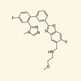 COCCNCc1cc2nc(-c3cccc(-c4ccc(F)cc4-c4nncn4C)c3)oc2cc1F